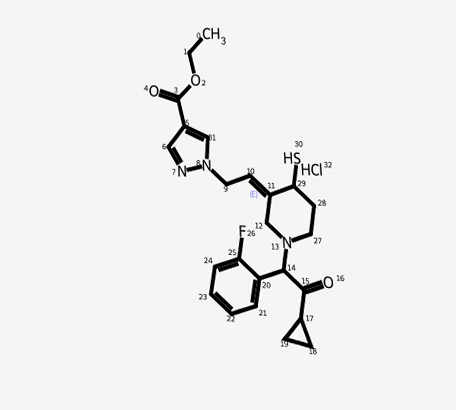 CCOC(=O)c1cnn(C/C=C2\CN(C(C(=O)C3CC3)c3ccccc3F)CCC2S)c1.Cl